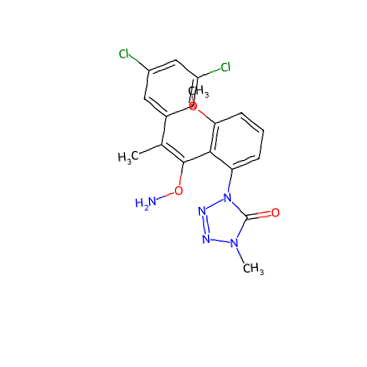 COc1cccc(-n2nnn(C)c2=O)c1/C(ON)=C(/C)c1cc(Cl)cc(Cl)c1